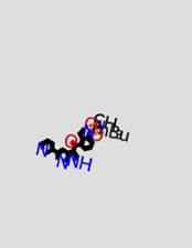 CCCCN(C)S(=O)(=O)n1ccc2c(C(=O)c3c[nH]c4ncc(-c5cccnc5)cc34)cccc21